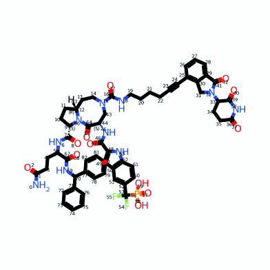 NC(=O)CCC(NC(=O)[C@@H]1CC[C@@H]2CCN(C(=O)NCCCCC#Cc3cccc4c3CN(C3CCC(=O)NC3=O)C4=O)C[C@H](NC(=O)c3cc4cc(C(F)(F)P(=O)(O)O)ccc4[nH]3)C(=O)N21)C(=O)NC(c1ccccc1)c1ccccc1